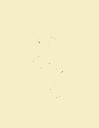 COCCOC(=O)Oc1ccnc(OC(=O)OCCOC)c1